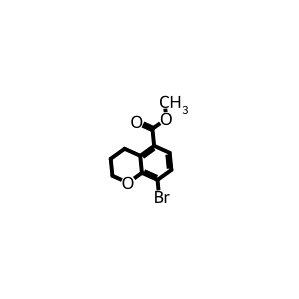 COC(=O)c1ccc(Br)c2c1CCCO2